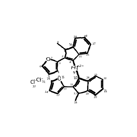 CC1C(c2ccco2)=[C]([Hf+2][C]2=C(c3ccco3)C(C)c3ccccc32)c2ccccc21.[Cl-].[Cl-]